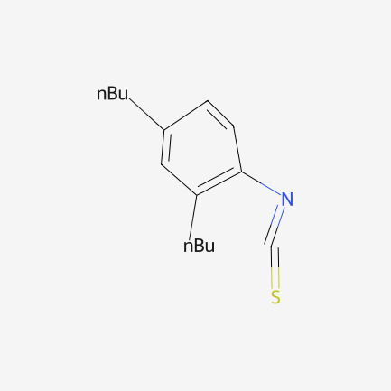 CCCCc1ccc(N=C=S)c(CCCC)c1